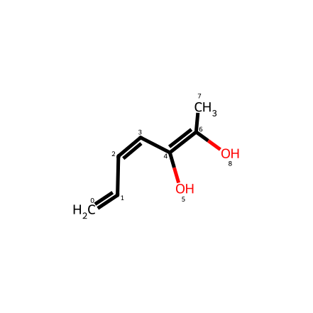 C=C/C=C\C(O)=C(/C)O